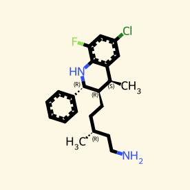 C[C@@H](CCN)CC[C@@H]1[C@H](C)c2cc(Cl)cc(F)c2N[C@H]1c1ccccc1